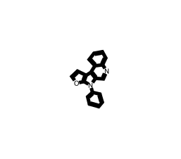 c1ccc(-n2c3cnc4ccccc4c3c3ccoc32)cc1